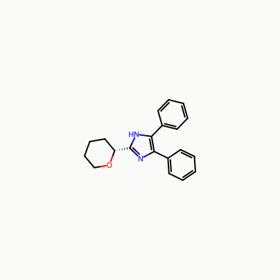 c1ccc(-c2nc([C@H]3CCCCO3)[nH]c2-c2ccccc2)cc1